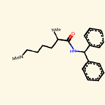 CNCCCCC(NC)C(=O)NC(c1ccccc1)c1ccccc1